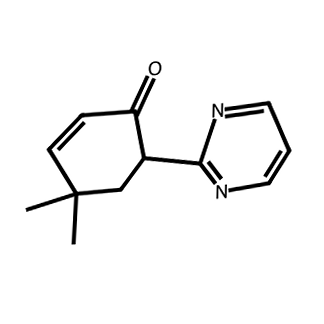 CC1(C)C=CC(=O)C(c2ncccn2)C1